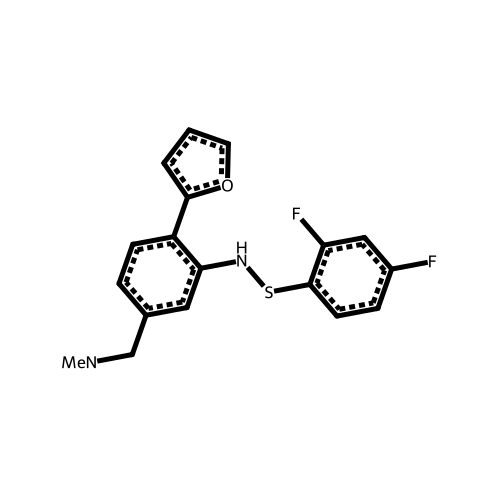 CNCc1ccc(-c2ccco2)c(NSc2ccc(F)cc2F)c1